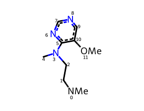 CNCCN(C)c1ncncc1OC